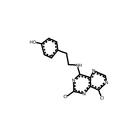 Oc1ccc(CCNc2nc(Cl)nc3c(Cl)ncnc23)cc1